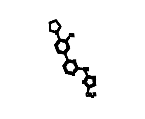 N#Cc1cc(-c2ccnc(Nc3ncc(C(=O)O)o3)n2)ccc1N1CCCC1